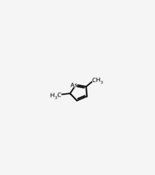 C[C]1C=CC(C)=[As]1